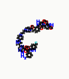 Nc1ncc(-c2cnn(C3CCN(CCCN4CCN(C(=O)Cc5cccc(NC6=CC(=O)N(C7CCC(=O)NC7=O)C6=O)c5)CC4)CC3)c2)nc1C(=O)O[C@@H](C(=O)Nc1ccc(F)cc1)c1ccccc1